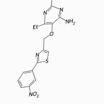 CCc1nc(N)nc(N)c1OCc1csc(-c2cccc([N+](=O)[O-])c2)n1